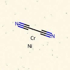 N#CC#N.[Cr].[Ni]